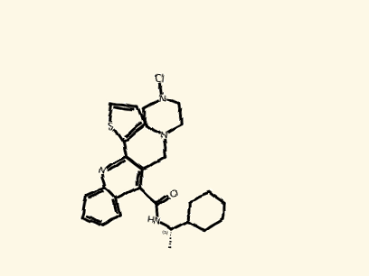 C[C@H](NC(=O)c1c(CN2CCN(Cl)CC2)c(-c2cccs2)nc2ccccc12)C1CCCCC1